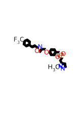 Cn1nccc1CCS(=O)(=O)Cc1ccc(OCc2coc(/C=C/c3ccc(C(F)(F)F)cc3)n2)cc1